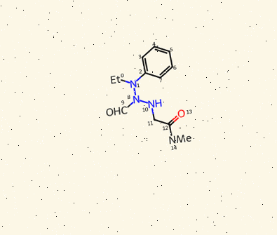 CCN(c1c[c]ccc1)N(C=O)NCC(=O)NC